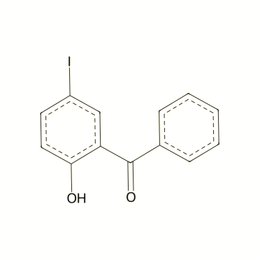 O=C(c1ccccc1)c1cc(I)ccc1O